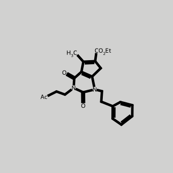 CCOC(=O)C1=C(C)c2c(n(CCc3ccccc3)c(=O)n(CCC(C)=O)c2=O)C1